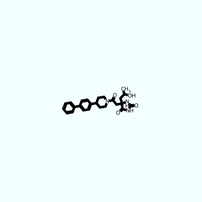 CC(O)CC1(CC(=O)N2CCC(c3ccc(-c4ccccc4)cc3)CC2)NC(=O)NC1=O